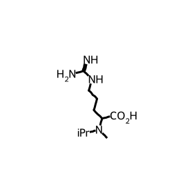 CC(C)N(C)C(CCCNC(=N)N)C(=O)O